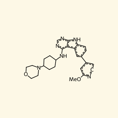 COc1cc(-c2ccc3[nH]c4ncnc(NC5CCC(N6CCOCC6)CC5)c4c3c2)ccn1